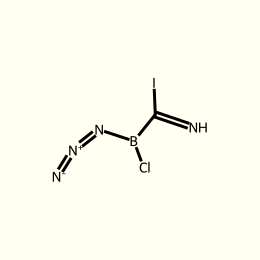 [N-]=[N+]=NB(Cl)C(=N)I